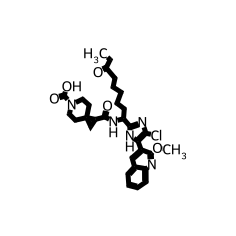 CCC(=O)CCCCCC(NC(=O)C1CC12CCN(C(=O)O)CC2)c1nc(Cl)c(-c2cc3ccccc3nc2OC)[nH]1